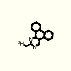 [2H]Cc1ncc2c3ccccc3c3ccccc3c2n1